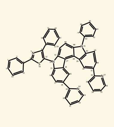 c1ccc(-c2nc(-c3ccccc3)c(-n3c4ccc(-c5ccccn5)cc4c4c5c6cc(-c7ccccn7)ccc6n(-c6ccccc6)c5ccc43)s2)cc1